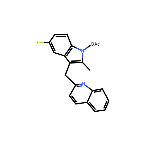 CC(=O)On1c(C)c(Cc2ccc3ccccc3n2)c2cc(F)ccc21